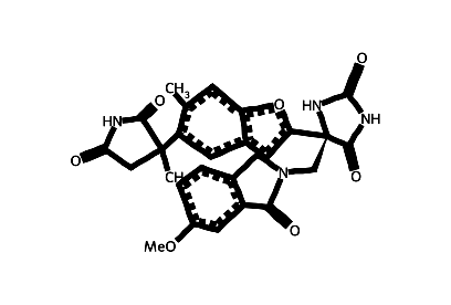 COc1ccc2c(c1)C(=O)N(C[C@@]1(c3cc4cc(C5(C)CC(=O)NC5=O)c(C)cc4o3)NC(=O)NC1=O)C2